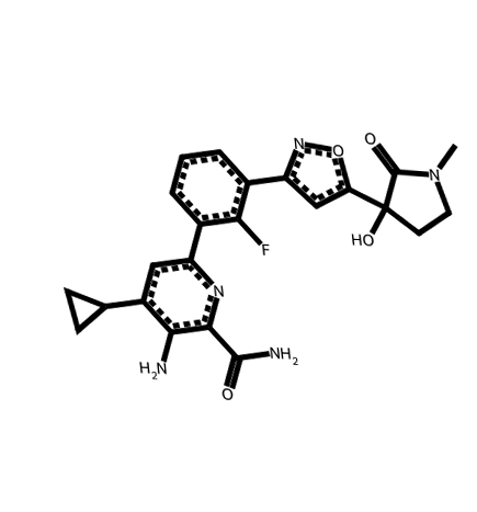 CN1CCC(O)(c2cc(-c3cccc(-c4cc(C5CC5)c(N)c(C(N)=O)n4)c3F)no2)C1=O